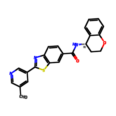 O=Cc1cncc(-c2nc3ccc(C(=O)N[C@H]4CCOc5ccccc54)cc3s2)c1